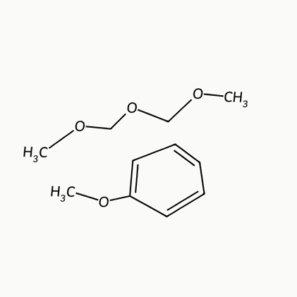 COCOCOC.COc1ccccc1